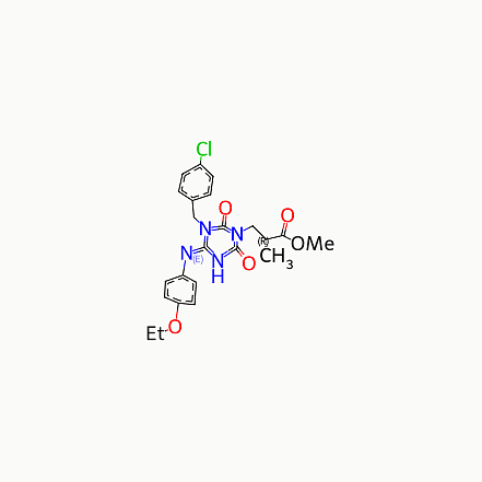 CCOc1ccc(/N=c2\[nH]c(=O)n(C[C@@H](C)C(=O)OC)c(=O)n2Cc2ccc(Cl)cc2)cc1